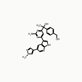 Cn1cc(-c2cnc3[nH]cc(-c4cc(C(C)(O)c5ccc(CO)cc5)nc(N)n4)c3c2)cn1